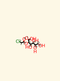 O=C(CCl)O[C@@H](C(=O)O)[C@@H](O)[C@H](O)[C@H](O)CO